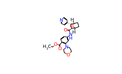 CCOC(=O)c1ccc(NC(=O)[C@H]2[C@H](c3ccncc3)[C@@H]3CC[C@H]2O3)cc1N1CCOCC1